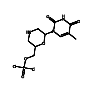 Cc1cn(C2CNCC(COP(=O)(Cl)Cl)O2)c(=O)[nH]c1=O